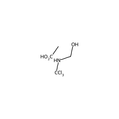 CC(=O)O.OCNC(Cl)(Cl)Cl